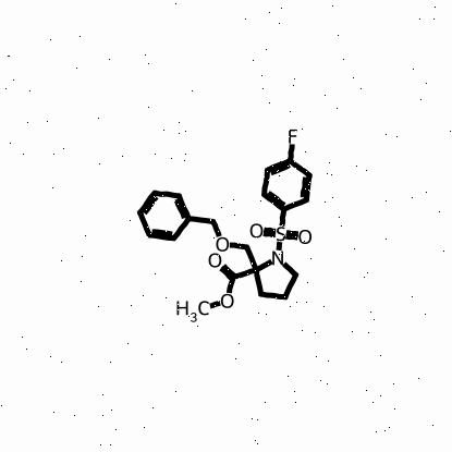 COC(=O)C1(COCc2ccccc2)CCCN1S(=O)(=O)c1ccc(F)cc1